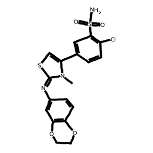 Cn1c(-c2ccc(Cl)c(S(N)(=O)=O)c2)csc1=Nc1ccc2c(c1)OCCO2